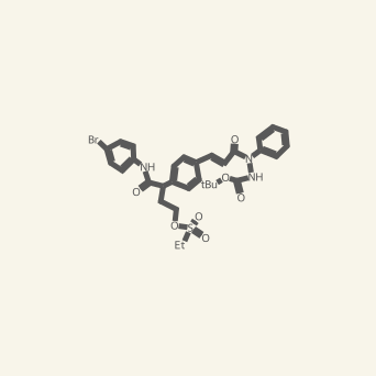 CCS(=O)(=O)OCCC(C(=O)Nc1ccc(Br)cc1)c1ccc(C=CC(=O)N(NC(=O)OC(C)(C)C)c2ccccc2)cc1